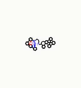 C1=C(c2cccc3c2oc2ccccc23)/N=C(n2c3ccccc3c3ccccc32)\N=C(\CC2CCc3cc4c(cc3-c3ccccc32)C2(c3ccccc3-c3ccccc32)c2ccccc2-4)CCC/1